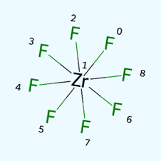 [F][Zr]([F])([F])([F])([F])([F])([F])[F]